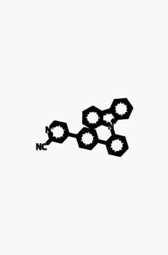 N#Cc1cc(-c2ccc(-c3ccccc3-n3c4ccccc4c4ccccc43)cc2)ccn1